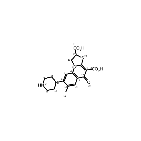 O=C(O)c1c2n(c3cc(N4CCNCC4)c(F)cc3c1=O)CC(C(=O)O)S2